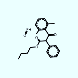 CCCCOC(=O)C(C(=O)c1c(C)cccc1C)c1ccccc1.O=P